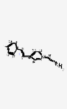 NCC[n+]1ccc(/C=C/c2ccccc2)cc1